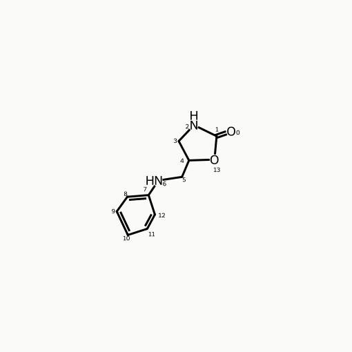 O=C1NCC(CNc2ccccc2)O1